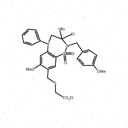 CCCCC1(CC)CN(c2ccccc2)c2cc(OC)c(CSCC(=O)OCC)cc2S(=O)(=O)N1Cc1ccc(OC)cc1